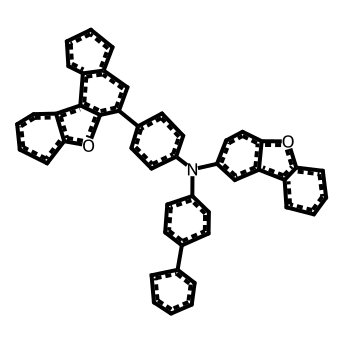 c1ccc(-c2ccc(N(c3ccc(-c4cc5ccccc5c5c4oc4ccccc45)cc3)c3ccc4oc5ccccc5c4c3)cc2)cc1